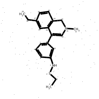 CCSNc1cccc(C2=CN(C)Cc3ccc(CC)cc32)c1